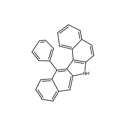 c1ccc(-c2c3ccccc3cc3[nH]c4ccc5ccccc5c4c23)cc1